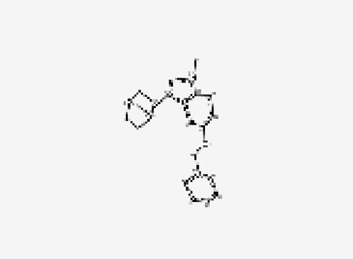 Cn1cc([C]2[CH]N3CCC2CC3)c2cc(OCc3ccccc3)ccc21